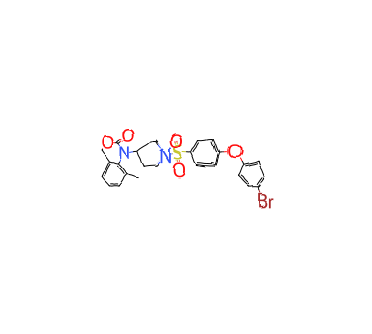 Cc1cccc2c1N(C1CCN(S(=O)(=O)c3ccc(Oc4ccc(Br)cc4)cc3)CC1)C(=O)OC2